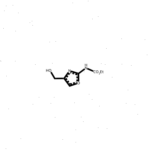 CCOC(=O)Nc1nc(CO)co1